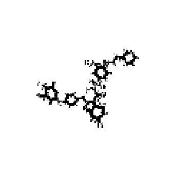 Cc1cc(Oc2ccc(Cn3nc4cc(Cl)ccc4c3C(=O)NS(=O)(=O)c3ccc(NCCc4cccnc4)c([N+](=O)[O-])c3)cc2)cc(C)c1Cl